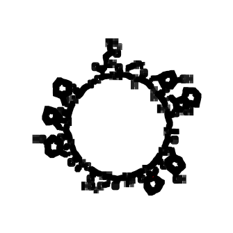 CC(C)C[C@@H]1NC(=O)[C@H](Cc2ccc(O)cc2)NC(=O)[C@H](Cc2c[nH]c3ccccc23)NC(=O)CN(C)C(=O)[C@H](Cc2ccc(O)cc2)NC(=O)[C@H](Cc2ccccc2)N(C)C(=O)[C@H](C(C)C)NC(=O)[C@H](CC(=O)O)NC(=O)CN(C)C(=O)[C@H](Cc2ccc(O)cc2)N(C)C(=O)[C@H](Cc2ccccc2)N(C)C(=O)[C@H](Cc2ccccc2)NC(=O)CSC[C@@H](C(=O)NCC(N)=O)NC1=O